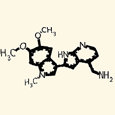 COc1cc2c(-c3cc4c(CN)ccnc4[nH]3)cn(C)c2cc1OC